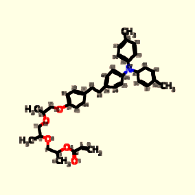 C=CC(=O)OC(C)COC(C)COC(C)COC1=CC=C(CCc2ccc(N(c3ccc(C)cc3)C3C=CC(C)=CC3)cc2)CC1